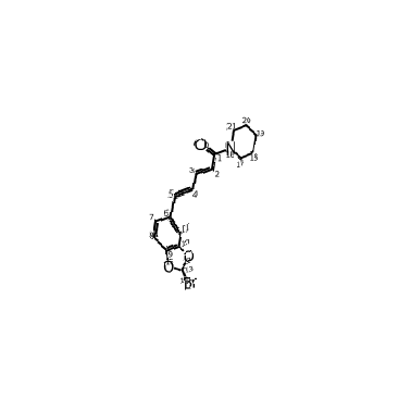 O=C(C=CC=Cc1ccc2c(c1)OC(Br)O2)N1CCCCC1